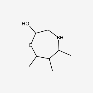 CC1BCC(O)OC(C)C1C